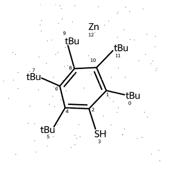 CC(C)(C)c1c(S)c(C(C)(C)C)c(C(C)(C)C)c(C(C)(C)C)c1C(C)(C)C.[Zn]